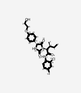 CC[C@H](C)[C@@H](C(=O)Nc1ccc(I)cc1Cl)N1C(=O)N[C@H](c2ccc(OCCO)cc2)C1=O